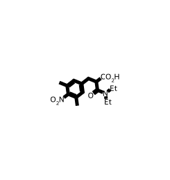 CCN(CC)C(=O)C(Cc1cc(C)c([N+](=O)[O-])c(C)c1)C(=O)O